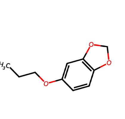 CCCOc1ccc2c(c1)OCO2